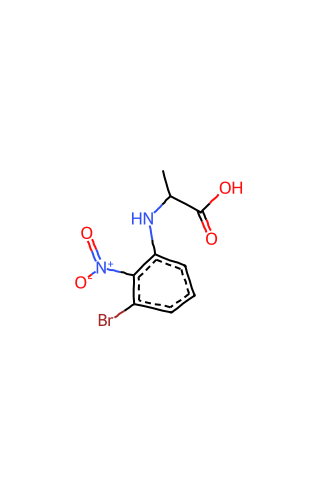 CC(Nc1cccc(Br)c1[N+](=O)[O-])C(=O)O